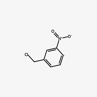 O=[N+]([O-])c1[c]ccc(CCl)c1